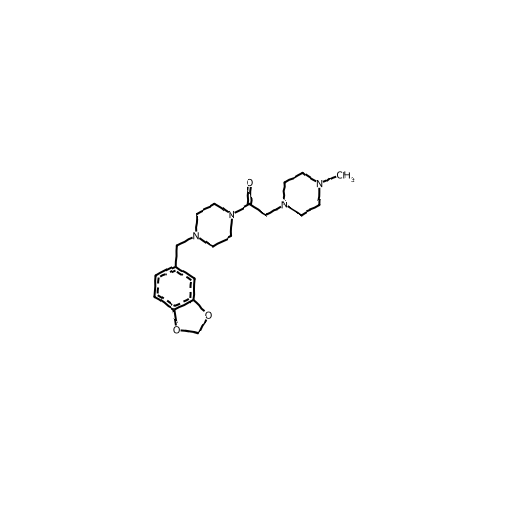 CN1CCN(CC(=O)N2CCN(Cc3ccc4c(c3)OCO4)CC2)CC1